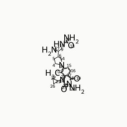 Cc1c(N2CCC(C(N)CNC(N)=O)C2)ccc2c(=O)n(N)c(=O)n(C3CC3)c12